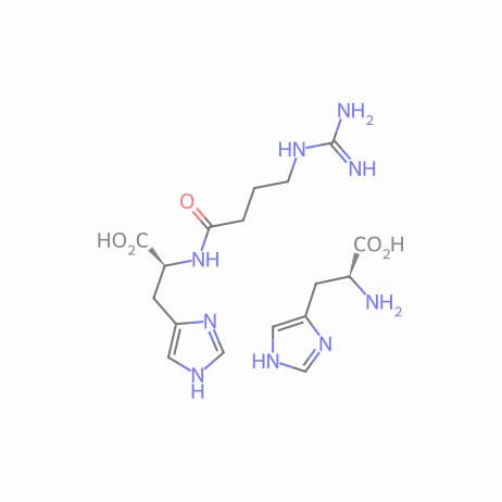 N=C(N)NCCCC(=O)N[C@@H](Cc1c[nH]cn1)C(=O)O.N[C@@H](Cc1c[nH]cn1)C(=O)O